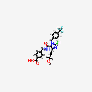 COC(C)(C)C#Cc1nc(Cl)n(Cc2ccc(C(F)(F)F)cc2)c1C(=O)NCc1ccc(C(=O)O)cc1